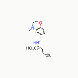 CN1CCOc2ccc(CN[C@@H](CCC(C)(C)C)C(=O)O)cc21